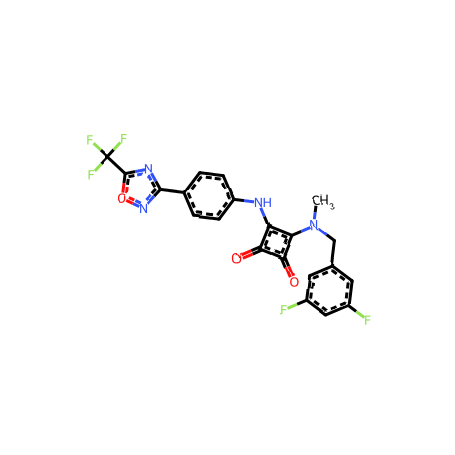 CN(Cc1cc(F)cc(F)c1)c1c(Nc2ccc(-c3noc(C(F)(F)F)n3)cc2)c(=O)c1=O